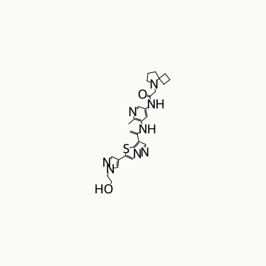 C=C(Nc1cc(NC(=O)CN2CCCC23CCC3)cnc1C)c1cnn2cc(-c3cnn(CCO)c3)sc12